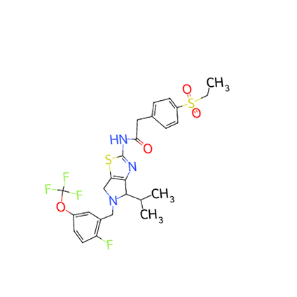 CCS(=O)(=O)c1ccc(CC(=O)Nc2nc3c(s2)CN(Cc2cc(OC(F)(F)F)ccc2F)C3C(C)C)cc1